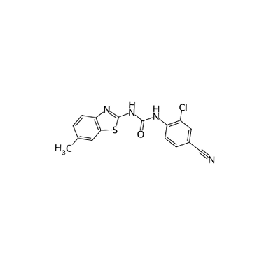 Cc1ccc2nc(NC(=O)Nc3ccc(C#N)cc3Cl)sc2c1